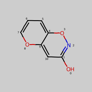 OC1=NOC2=CC=COC2=C1